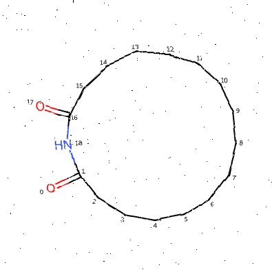 O=C1CCCCCCCCCCCCCCC(=O)N1